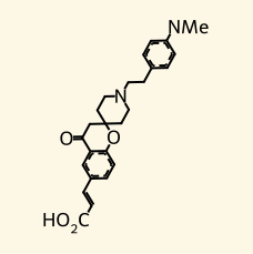 CNc1ccc(CCN2CCC3(CC2)CC(=O)c2cc(/C=C/C(=O)O)ccc2O3)cc1